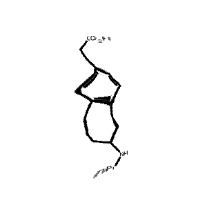 CCCNC1CCc2cc(CC(=O)O)ccc2C1